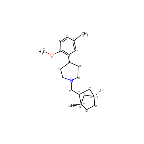 COc1ccc(C)cc1C1CCN(CC2C[C@H]3CC[C@H]2C3)CC1